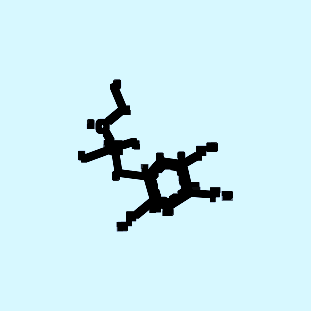 CCO[Si](C)(C)Cc1cc(F)c(F)cc1F